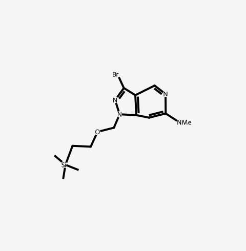 CNc1cc2c(cn1)c(Br)nn2COCC[Si](C)(C)C